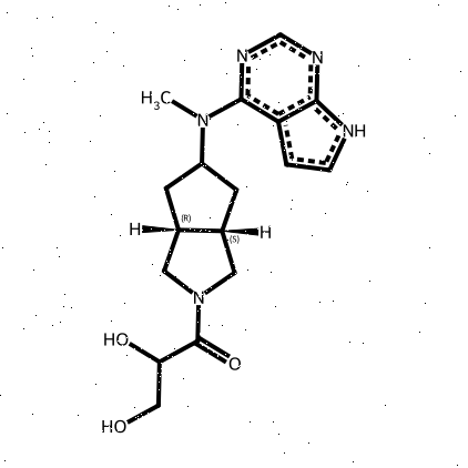 CN(c1ncnc2[nH]ccc12)C1C[C@@H]2CN(C(=O)C(O)CO)C[C@@H]2C1